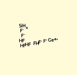 F.F.F.F.[F-].[F-].[F-].[F-].[Ge+4].[SiH4]